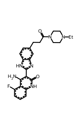 CCN1CCN(C(=O)CCc2ccc3[nH]c(-c4c(N)c5c(F)cccc5[nH]c4=O)nc3c2)CC1